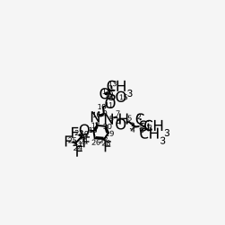 C[Si](C)(C)CCOCn1c(COS(C)(=O)=O)nc2c(OC(F)(F)C(F)F)cc(F)cc21